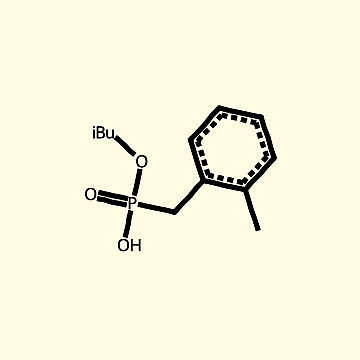 CCC(C)OP(=O)(O)Cc1ccccc1C